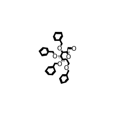 O=C[C@H]1OC(COCc2ccccc2)[C@H](OCc2ccccc2)[C@H](OCc2ccccc2)C1OCc1ccccc1